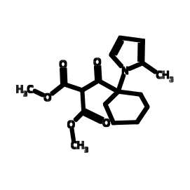 COC(=O)C(C(=O)OC)C(=O)C1(n2cccc2C)CCCCC1